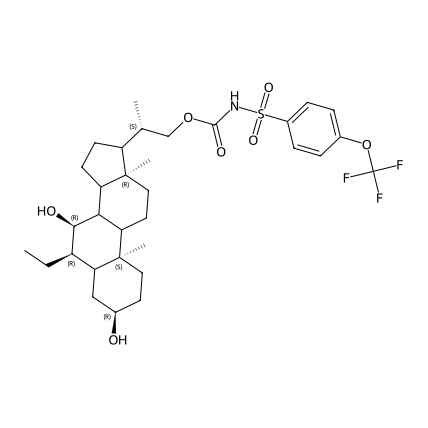 CC[C@@H]1C2C[C@H](O)CC[C@]2(C)C2CC[C@@]3(C)C(CCC3[C@H](C)COC(=O)NS(=O)(=O)c3ccc(OC(F)(F)F)cc3)C2[C@@H]1O